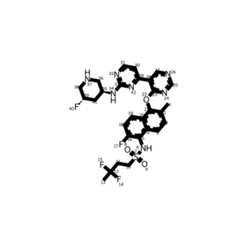 Cc1ccc2c(NS(=O)(=O)CCC(C)(F)F)c(F)ccc2c1Oc1ncncc1-c1ccnc(N[C@@H]2CNC[C@@H](F)C2)n1